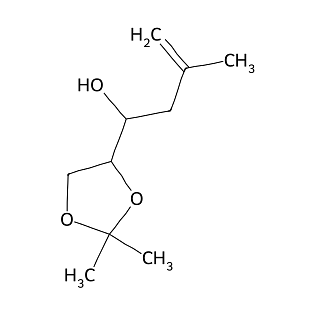 C=C(C)CC(O)C1COC(C)(C)O1